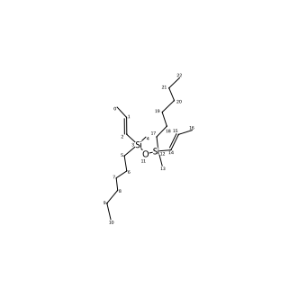 CC=C[Si](C)(CCCCCC)O[Si](C)(C=CC)CCCCCC